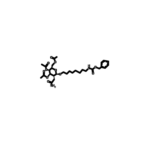 CC(=O)OC[C@H]1O[C@@H](OCCCCCCCCNC(=O)OCc2ccccc2)[C@H](CC(N)=O)[C@@H](OC(C)=O)[C@H]1OC(C)=O